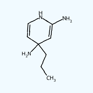 CCCC1(N)C=CNC(N)=C1